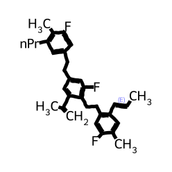 C=C(C)c1cc(CCc2cc(F)c(C)c(CCC)c2)cc(F)c1CCc1cc(F)c(C)cc1/C=C/C